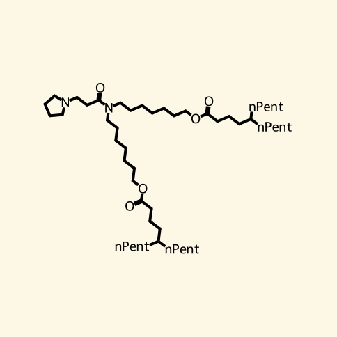 CCCCCC(CCCCC)CCCC(=O)OCCCCCCCN(CCCCCCCOC(=O)CCCC(CCCCC)CCCCC)C(=O)CCN1CCCC1